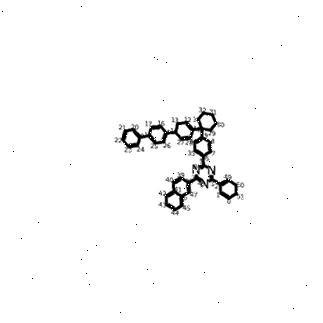 C1=CC(c2nc(-c3ccc(C4(C5=CCC(c6ccc(-c7ccccc7)cc6)C=C5)CCCCC4)cc3)nc(-c3ccc4ccccc4c3)n2)=CCC1